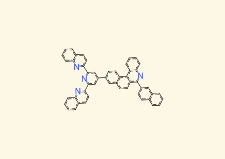 c1ccc2cc(-c3nc4ccccc4c4c3ccc3cc(-c5cc(-c6ccc7ccccc7n6)nc(-c6ccc7ccccc7n6)c5)ccc34)ccc2c1